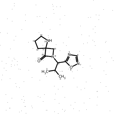 CC(C)C(c1ncno1)N1CC2(CCCN2)C1=O